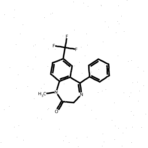 CN1C(=O)CN=C(c2ccccc2)c2cc(C(F)(F)F)ccc21